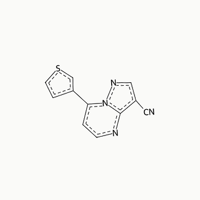 N#Cc1cnn2c(-c3ccsc3)ccnc12